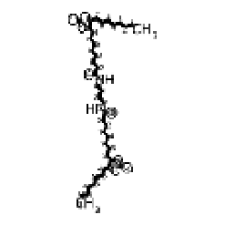 CCCCCCCCC1OC(=O)OC1CCCCCCCC(=O)NCCCCNC(=O)CCCCCCCC1OC(=O)OC1CCCCCCCC